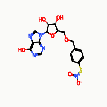 O=[N+]([O-])Sc1ccc(COC[C@H]2O[C@@H](n3cnc4c(O)ncnc43)[C@H](O)[C@@H]2O)cc1